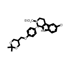 CCOC(=O)N1CCc2c([nH]c3ccc(Cl)cc23)[C@@H]1c1ccc(OCC2COC(C)(C)OC2)cc1